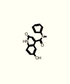 CN(C(=O)c1cc(=O)[nH]c2ccc(O)cc12)c1ccccc1